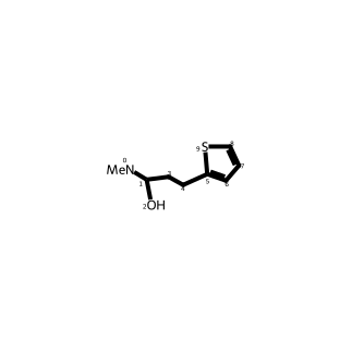 CNC(O)CCc1cccs1